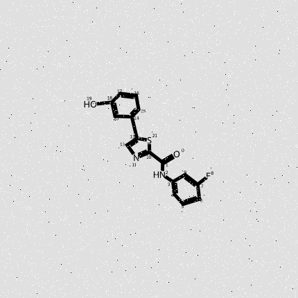 O=C(Nc1cccc(F)c1)c1ncc(-c2cccc(O)c2)s1